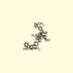 Cc1ncsc1-c1ccc(CNC(=O)[C@@H]2C[C@@H](O)CN2C(=O)C(NC(=O)CC2CCN(c3cc(-c4ccccc4O)nnc3N)CC2)C(C)(C)C)cc1